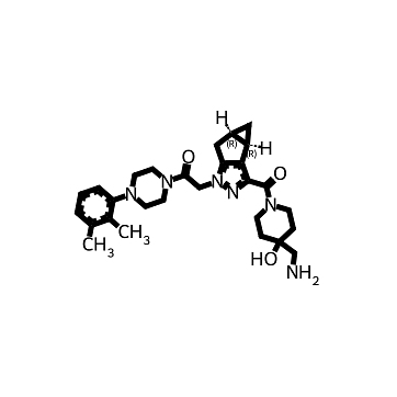 Cc1cccc(N2CCN(C(=O)Cn3nc(C(=O)N4CCC(O)(CN)CC4)c4c3C[C@H]3C[C@@H]43)CC2)c1C